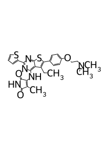 CCc1c(-c2ccc(OCCN(C)C)cc2)sc2nc(-c3cccs3)nc(NC3=C(C)C(=O)NC3=O)c12